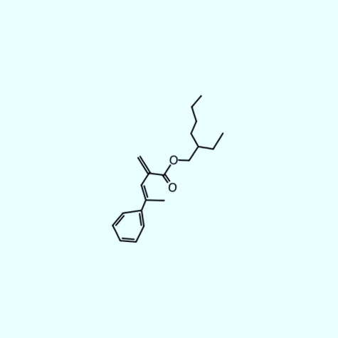 C=C(C=C(C)c1ccccc1)C(=O)OCC(CC)CCCC